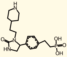 O=C1NCC(c2ccc(CCP(=O)(O)O)cc2)N1CCC1CCNCC1